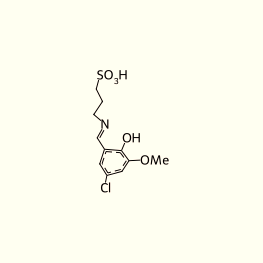 COc1cc(Cl)cc(/C=N/CCCS(=O)(=O)O)c1O